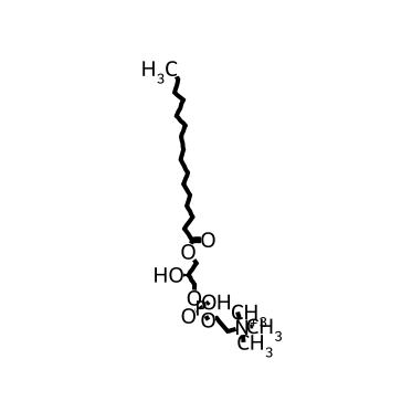 CCCCCCCCCCCCCCCC(=O)OC[C@H](O)COP(=O)(O)OCC[N+](C)(C)C